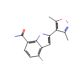 Cc1noc(C)c1-c1cc2c(Br)ccc(C(N)=O)c2[nH]1